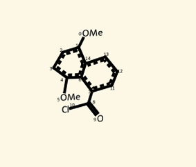 COc1ccc(OC)c2c(C(=O)Cl)cccc12